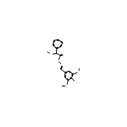 COc1cc(/C=N/NC(=O)C(OC)c2ccccc2)cc(OC)c1O